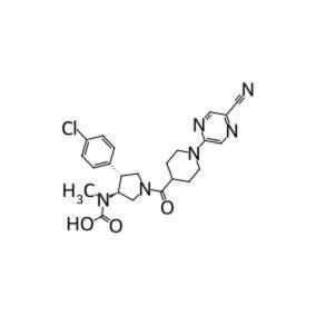 CN(C(=O)O)[C@@H]1CN(C(=O)C2CCN(c3cnc(C#N)cn3)CC2)C[C@H]1c1ccc(Cl)cc1